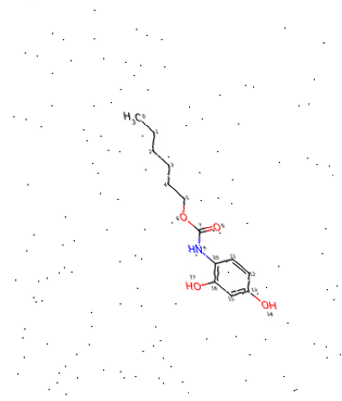 CCCCCCOC(=O)Nc1ccc(O)cc1O